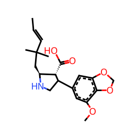 C/C=C/C(C)(C)C[C@@H]1NCC(c2cc(OC)c3c(c2)OCO3)[C@H]1C(=O)O